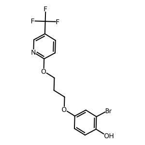 Oc1ccc(OCCCOc2ccc(C(F)(F)F)cn2)cc1Br